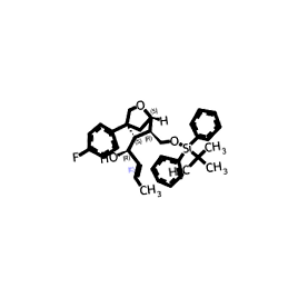 C/C=C/[C@@H](O)[C@H]1[C@H](CO[Si](c2ccccc2)(c2ccccc2)C(C)(C)C)[C@@H]2CC1(c1ccc(F)cc1)CO2